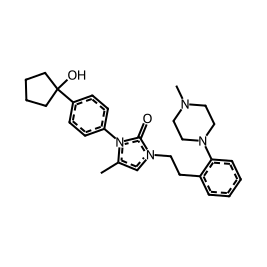 Cc1cn(CCc2ccccc2N2CCN(C)CC2)c(=O)n1-c1ccc(C2(O)CCCC2)cc1